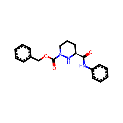 O=C(Nc1ccccc1)[C@@H]1CCCN(C(=O)OCc2ccccc2)N1